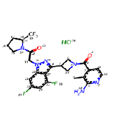 Cc1c(C(=O)N2CC(c3nn(CC(=O)N4CCC[C@H]4C(F)(F)F)c4cc(F)cc(F)c34)C2)ccnc1N.Cl